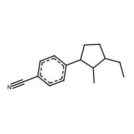 [CH2]CC1C[CH]C(c2ccc(C#N)cc2)C1C